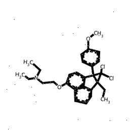 CCN(CC)CCOc1ccc(C2(c3ccc(OC)cc3)C(Cl)(Cl)C2(CC)c2ccccc2)cc1